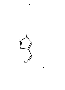 [CH]=Cc1c[nH]nn1